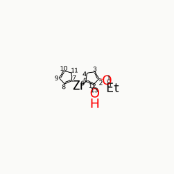 CCOC1=CC[C]([Zr][C]2=CC=CC2)=C1O